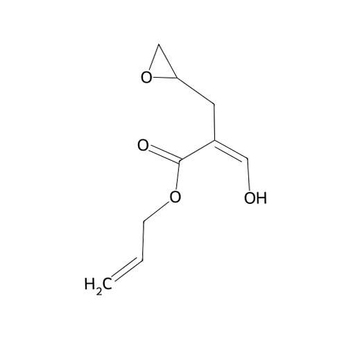 C=CCOC(=O)C(=CO)CC1CO1